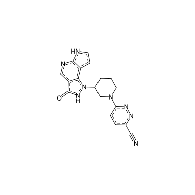 N#Cc1ccc(N2CCCC(n3[nH]c(=O)c4cnc5[nH]ccc5c43)C2)nn1